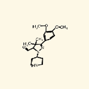 COc1ccc(C2=NN(C3CCNCC3)C(C=O)C2(C)C)cc1OC